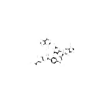 CN(Cc1cnc2nc(N)nc(N)c2n1)c1ccc(C(=O)N[C@@H](CCC(=O)O)C(=O)O)cc1.S=c1nc[nH]c2nc[nH]c12.c1ncc2[nH]cnc2n1